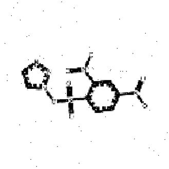 O=[N+]([O-])c1ccc(S(=O)(=O)On2ccnn2)c([N+](=O)[O-])c1